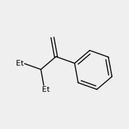 C=C(c1ccccc1)C(CC)CC